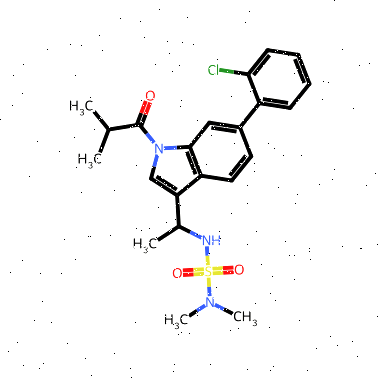 CC(C)C(=O)n1cc(C(C)NS(=O)(=O)N(C)C)c2ccc(-c3ccccc3Cl)cc21